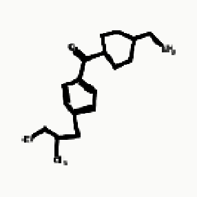 CC(CO)Cc1ccc(C(=O)C2CCC(CN)CC2)cc1